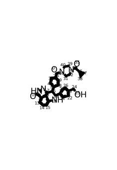 O=C(c1ccc(C2c3n[nH]c(=O)c4cccc(c34)NC2c2ccc(CO)cc2)cc1)N1CCN(C(=O)C2CC2)CC1